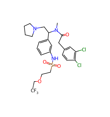 CN(C(=O)Cc1ccc(Cl)c(Cl)c1)C(CN1CCCC1)c1cccc(NS(=O)(=O)CCOCC(F)(F)F)c1